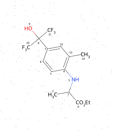 CCOC(=O)C(C)Nc1ccc(C(O)(C(F)(F)F)C(F)(F)F)cc1C